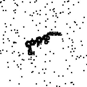 CC(=O)NCC1CN(c2ccc(N3CC4CCCN(CCO)C4C3)c(F)c2)C(=O)O1